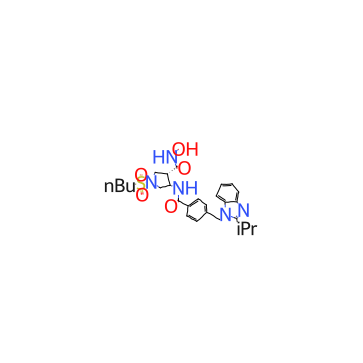 CCCCS(=O)(=O)N1C[C@H](C(=O)NO)[C@H](NC(=O)c2ccc(Cn3c(C(C)C)nc4ccccc43)cc2)C1